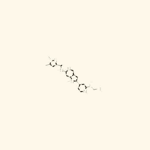 Cc1cc(C(=O)Nc2cc3[nH]c(-c4ccnc(NCC(F)(F)F)c4)cc3cn2)nn1C